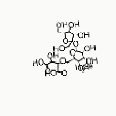 O=C(O)C(O)C(OC[C@H]1O[C@H](O[C@]2(CO)O[C@H](CO)[C@@H](O)[C@@H]2O)[C@H](O)[C@@H](O)[C@@H]1O)C(=O)O.[SeH2]